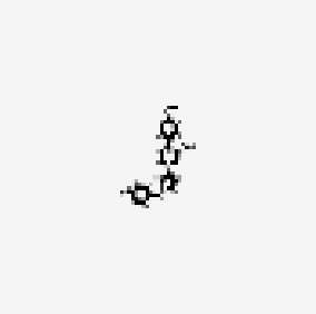 COc1ccc([C@@H]2CCN(c3ccn(Cc4ccc(F)cc4)c3)C[C@H]2O)cc1